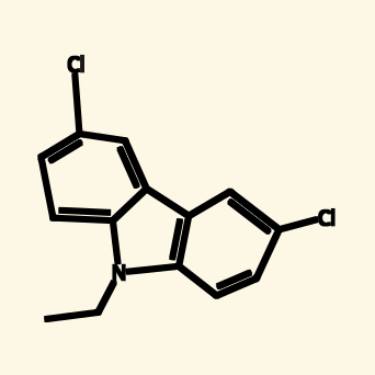 CCn1c2ccc(Cl)cc2c2cc(Cl)ccc21